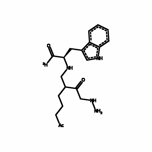 [2H]C(=O)[C@@H](Cc1c[nH]c2ccccc12)NCC(CCCC(C)=O)C(=O)CNN